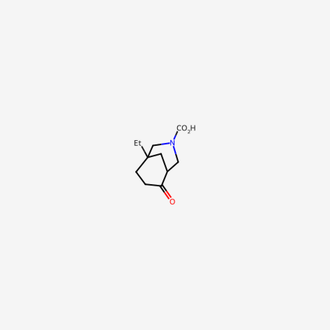 CCC12CCC(=O)C(CN(C(=O)O)C1)C2